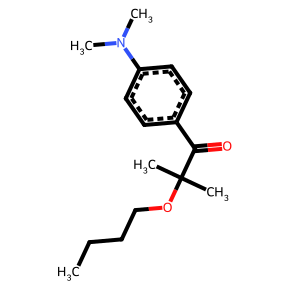 CCCCOC(C)(C)C(=O)c1ccc(N(C)C)cc1